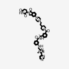 C[C@@H](NC(=O)c1cccc(NCc2nnc(-c3ccncn3)n2C)c1)c1cccc(C(=O)N2CCC(CCN3CCN(c4ccc5c(c4)CN(C4CCC(=O)NC4=O)C5=O)CC3)CC2)c1